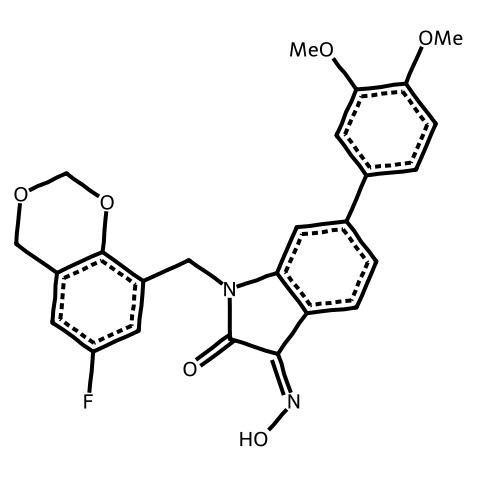 COc1ccc(-c2ccc3c(c2)N(Cc2cc(F)cc4c2OCOC4)C(=O)/C3=N\O)cc1OC